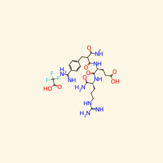 CNC(=O)C(Cc1ccc(C(=N)N)cc1)C(=O)N[C@@H](CCC(=O)O)C(=O)N[C@@H](CCCNC(=N)N)C(N)=O.O=C(O)C(F)(F)F